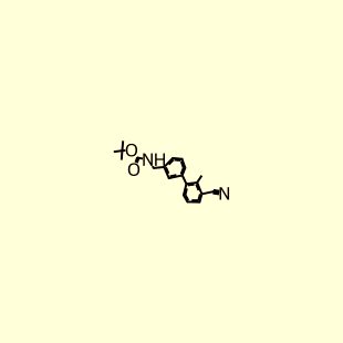 Cc1c(C#N)cccc1-c1cccc(CNC(=O)OC(C)(C)C)c1